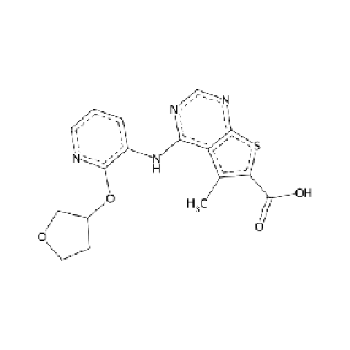 Cc1c(C(=O)O)sc2ncnc(Nc3cccnc3OC3CCOC3)c12